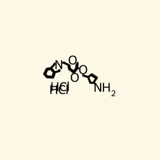 Cl.Cl.N[C@@H]1C=CC(COc2coc(CN3Cc4ccccc4C3)cc2=O)C1